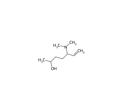 C=CC(CCC(C)O)N(C)C